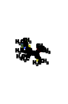 CCCCC(CC)CC1(CC(CC)CCCC)c2cc3c(cc2-c2cc4sc(-c5cc(F)c(C(C)C)c6nsnc56)cc4cc21)C(CC(CC)CCCC)(CC(CC)CCCC)c1cc2cc(C(C)C)sc2cc1-3